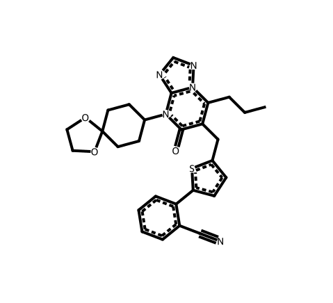 CCCc1c(Cc2ccc(-c3ccccc3C#N)s2)c(=O)n(C2CCC3(CC2)OCCO3)c2ncnn12